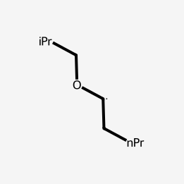 CCCC[CH]OCC(C)C